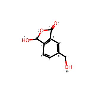 O=C1OC(O)c2ccc(CO)cc21